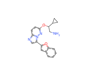 NCC(Oc1ccc2ncc(-c3cc4ccccc4o3)n2n1)C1CC1